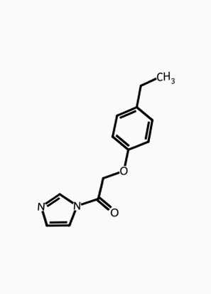 CCc1ccc(OCC(=O)n2ccnc2)cc1